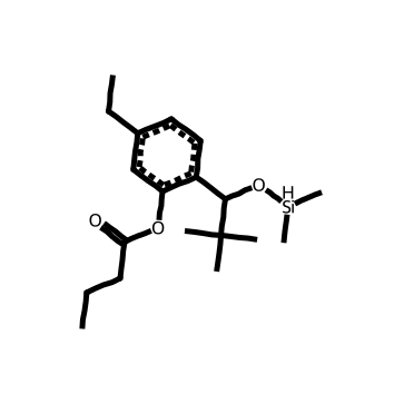 CCCC(=O)Oc1cc(CC)ccc1C(O[SiH](C)C)C(C)(C)C